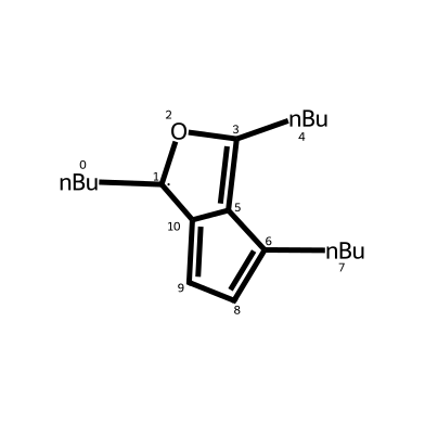 CCCC[C]1OC(CCCC)=C2C(CCCC)=CC=C12